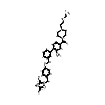 CCOCCN1CCN(C(=O)c2ccc(-c3cccc(COc4ccc(Cn5oc(=O)[nH]c5=O)cc4)c3)c(C)c2)CC1